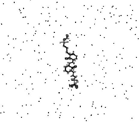 CC(C)(CCCC1CCCC(CCC2CCCC(CCCC(C)(C)C(=O)O)C2=O)C1=O)OC=O